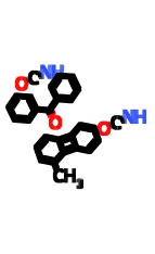 Cc1cccc2c1=c1ccccc1=2.N=C=O.N=C=O.O=C(c1ccccc1)c1ccccc1